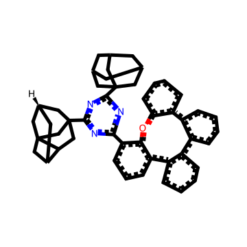 c1ccc2c(c1)oc1c(-c3nc(C45CC6CC(CC(C6)C4)C5)nc(C45CC6C7C[C@@H](C4)CC6(C7)C5)n3)cccc1c1ccccc1c1ccccc21